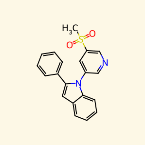 CS(=O)(=O)c1cncc(-n2c(-c3ccccc3)cc3ccccc32)c1